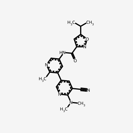 Cc1ncc(NC(=O)c2cc(C(C)C)on2)cc1-c1cnc(N(C)C)c(C#N)c1